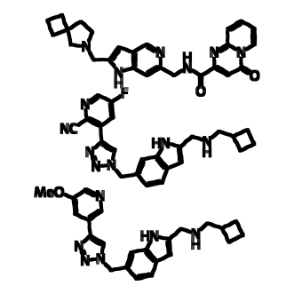 COc1cncc(-c2cn(Cc3ccc4cc(CNCC5CCC5)[nH]c4c3)nn2)c1.N#Cc1ncc(F)cc1-c1cn(Cc2ccc3cc(CNCC4CCC4)[nH]c3c2)nn1.O=C(NCc1cc2[nH]c(CN3CCC4(CCC4)C3)cc2cn1)c1cc(=O)n2ccccc2n1